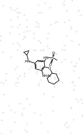 CC(=O)Nc1cc(NC2CC2)cc(NS(C)(=O)=O)c1OC1CCCCC1